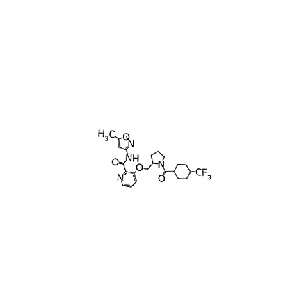 Cc1cc(NC(=O)c2ncccc2OCC2CCCN2C(=O)C2CCC(C(F)(F)F)CC2)no1